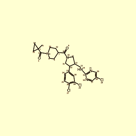 CC1(C(=O)N2CCC(C(=O)N3CC(CNc4ncc(Cl)cn4)C(c4ccc(Cl)c(Cl)c4)C3)CC2)CC1